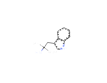 CCCCCC(C)(N)Cc1c[nH]c2ccccc12